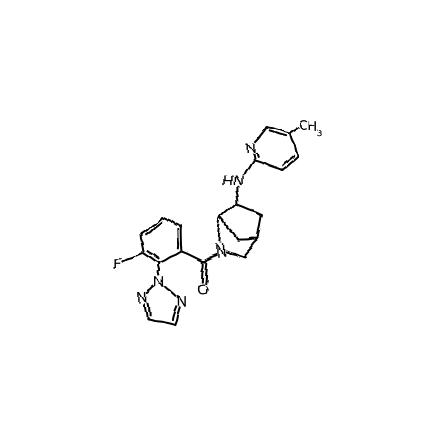 Cc1ccc(NC2CC3CC2N(C(=O)c2cccc(F)c2-n2nccn2)C3)nc1